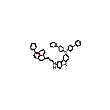 C(=C/c1ccc(-c2ccccc2)cc1)/C(=C\C=C\Nc1ccc2sc3ccc(N(c4ccc(-c5ccccc5)cc4)c4ccc(-c5ccccc5)cc4)cc3c2c1)c1ccccc1